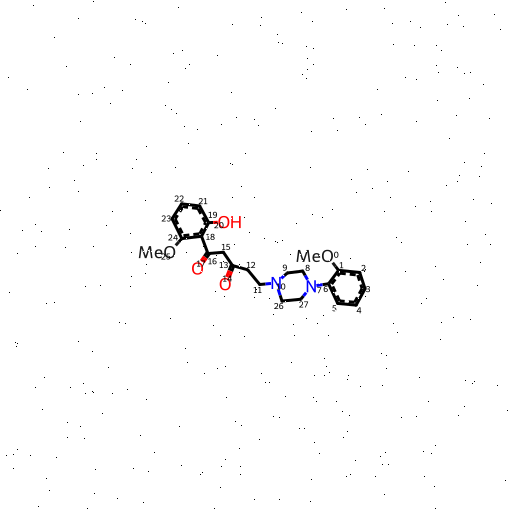 COc1ccccc1N1CCN(CCC(=O)CC(=O)c2c(O)cccc2OC)CC1